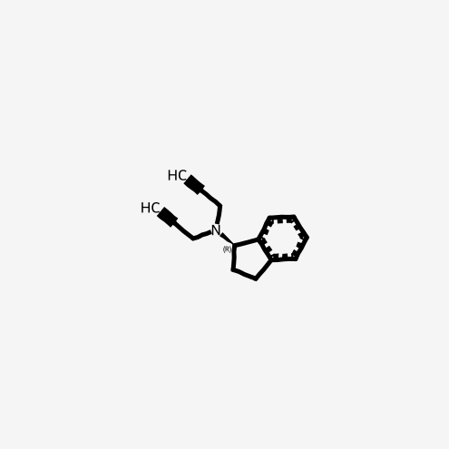 C#CCN(CC#C)[C@@H]1CCc2ccccc21